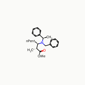 CCCCC[C@H]([C@@H](C)C(=O)OC)N(Cc1ccccc1)[C@H](C)c1ccccc1